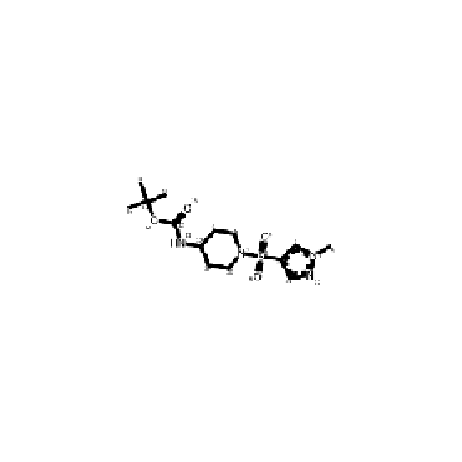 Cn1cc(S(=O)(=O)N2CCC(NC(=O)OC(C)(C)C)CC2)cn1